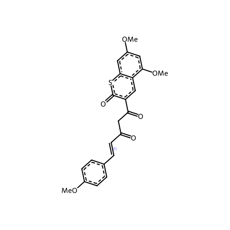 COc1ccc(/C=C/C(=O)CC(=O)c2cc3c(OC)cc(OC)cc3sc2=O)cc1